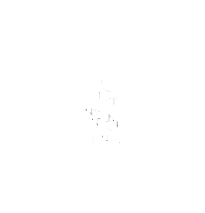 O=C1NCc2c1ccnc2-c1cc(Cc2cc(F)cc(C(F)(F)F)c2)ncn1